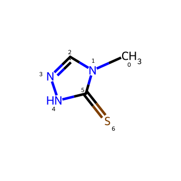 Cn1[c]n[nH]c1=S